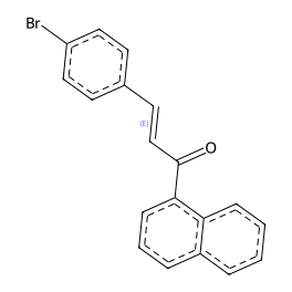 O=C(/C=C/c1ccc(Br)cc1)c1cccc2ccccc12